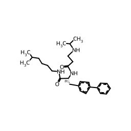 CC(C)CCCCNC(=O)[C@@H](Cc1ccc(-c2ccccc2)cc1)NC(=O)CCNC(C)C